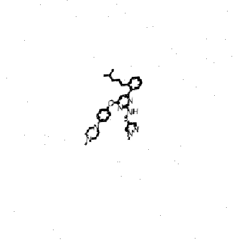 CC(C)CCCc1ccccc1-c1cc(Oc2ccc(N3CCN(C)CC3)cc2)nc(NSc2cnn(C)c2)n1